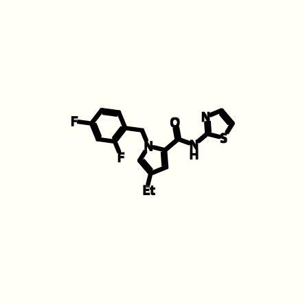 CCc1cc(C(=O)Nc2nccs2)n(Cc2ccc(F)cc2F)c1